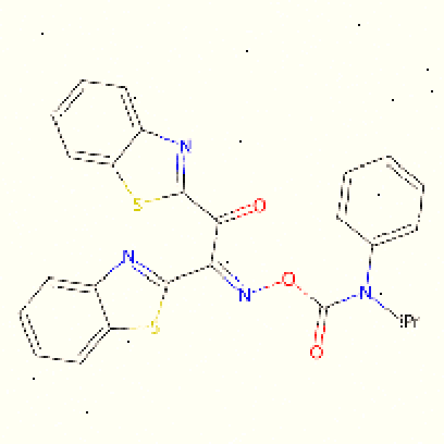 CC(C)N(C(=O)O/N=C(\C(=O)c1nc2ccccc2s1)c1nc2ccccc2s1)c1ccccc1